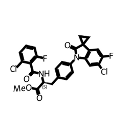 COC(=O)[C@H](Cc1ccc(N2C(=O)C3(CC3)c3cc(F)c(Cl)cc32)cc1)NC(=O)c1c(F)cccc1Cl